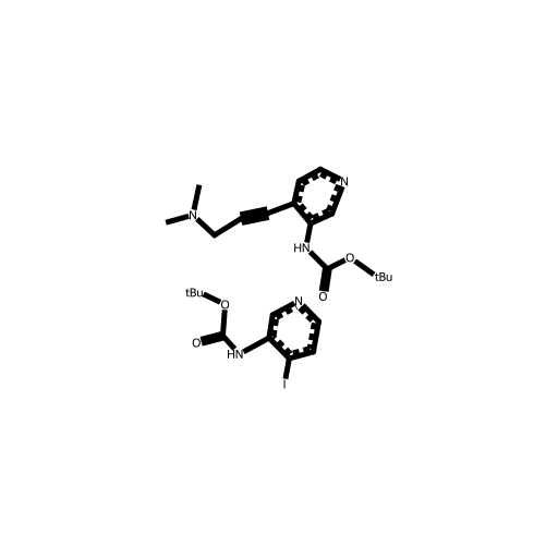 CC(C)(C)OC(=O)Nc1cnccc1I.CN(C)CC#Cc1ccncc1NC(=O)OC(C)(C)C